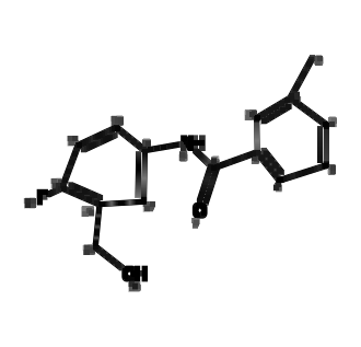 Cc1cccc(C(=O)Nc2ccc(F)c(CO)c2)c1